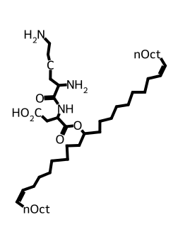 CCCCCCCC/C=C\CCCCCCCCC(CCCCCCC/C=C\CCCCCCCC)OC(=O)C(CC(=O)O)NC(=O)C(N)CCCCN